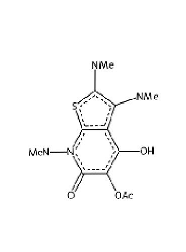 CNc1sc2c(c(O)c(OC(C)=O)c(=O)n2NC)c1NC